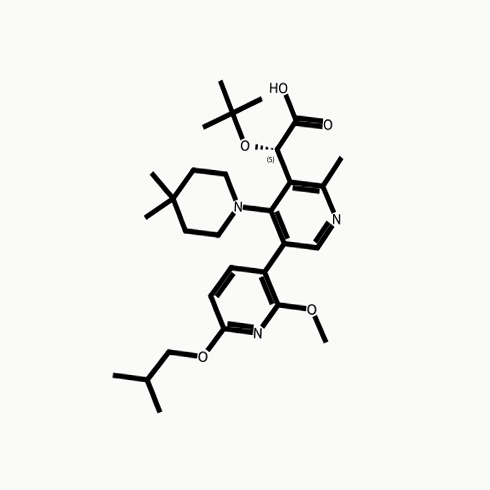 COc1nc(OCC(C)C)ccc1-c1cnc(C)c([C@H](OC(C)(C)C)C(=O)O)c1N1CCC(C)(C)CC1